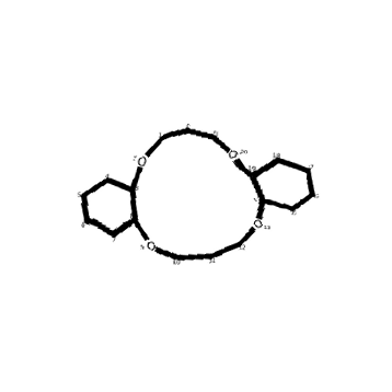 C1COC2CCCCC2OCCCOC2CCCCC2OC1